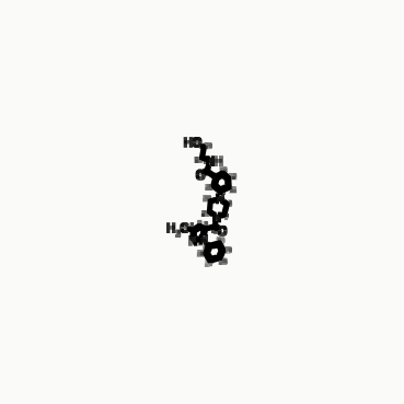 Cc1cc(C(=O)N2CCN(c3cccc(C(=O)NCCO)c3)CC2)n(-c2ccccc2)n1